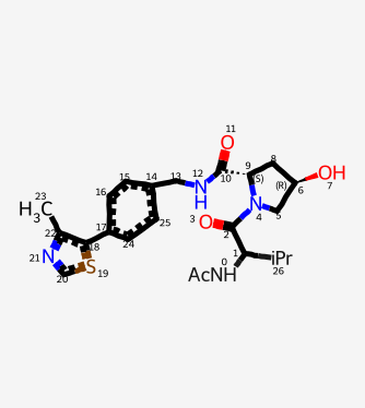 CC(=O)NC(C(=O)N1C[C@H](O)C[C@H]1C(=O)NCc1ccc(-c2scnc2C)cc1)C(C)C